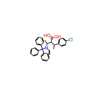 C=CN(C(C)C(B(O)O)C(C)c1ccc(Cl)cc1)C(c1ccccc1)(c1ccccc1)c1ccccc1